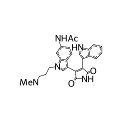 CNCCCn1cc(C2=C(c3c[nH]c4ccccc34)C(=O)NC2=O)c2ccc(NC(C)=O)cc21